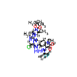 C[C@@H]1CN(C(=O)OC(C)(C)C)[C@@H](C)CN1c1ncc(Cl)c(Nc2ccc3c(c2)c2c(c(=O)n3C)OCC(F)(F)[C@H](C3CC3)N2)n1